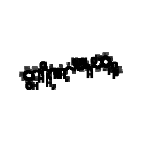 N/C(=C\N(N)CCCCN(N)/C=C(\N)NC(=O)Cc1cc(OC(F)(F)F)ccc1F)C(=O)NCc1cccc(O)c1